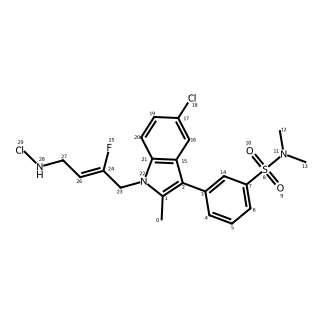 Cc1c(-c2cccc(S(=O)(=O)N(C)C)c2)c2cc(Cl)ccc2n1C/C(F)=C/CNCl